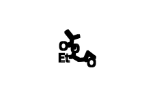 C=C(C)C(=O)OC(CC)CC1CCO1